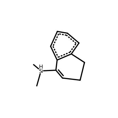 C[SiH](C)C1=CCCc2ccccc21